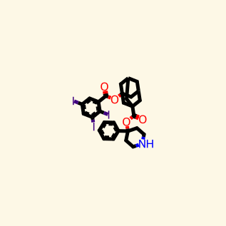 O=C(OC12CC3CC(C1)CC(C(=O)OC1(c4ccccc4)CCNCC1)(C3)C2)c1cc(I)cc(I)c1I